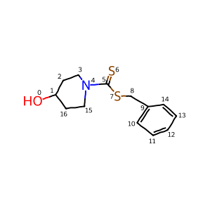 OC1CCN(C(=S)SCc2ccccc2)CC1